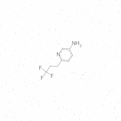 Nc1ccc(CCC(F)(F)F)nc1